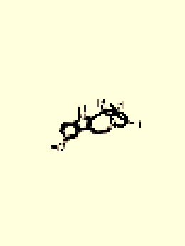 COc1ccc2[nH]c3c(c2c1)CCN1C[C@H]2C[C@@H](C)C1[C@@H]3C2